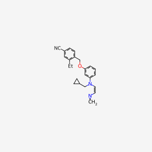 C=N/C=C\N(CC1CC1)c1cccc(OCc2ccc(C#N)cc2CC)c1